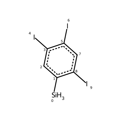 [SiH3]c1cc(I)c(I)cc1I